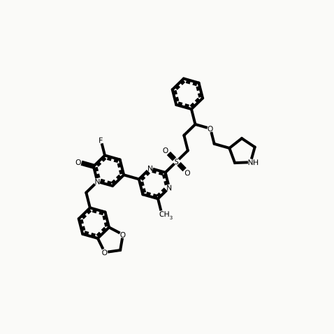 Cc1cc(-c2cc(F)c(=O)n(Cc3ccc4c(c3)OCO4)c2)nc(S(=O)(=O)CCC(OCC2CCNC2)c2ccccc2)n1